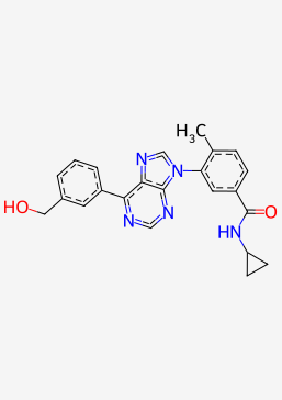 Cc1ccc(C(=O)NC2CC2)cc1-n1cnc2c(-c3cccc(CO)c3)ncnc21